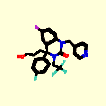 O=C1N(Cc2ccncc2)c2ccc(I)cc2C(CCCO)(c2ccc(F)cc2)N1CC(F)(F)F